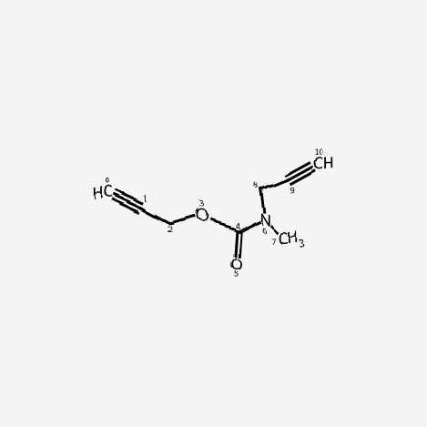 C#CCOC(=O)N(C)CC#C